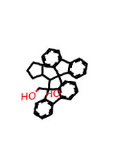 OCC1(C(C2CCCC2)C2(CO)c3ccccc3-c3ccccc32)c2ccccc2-c2ccccc21